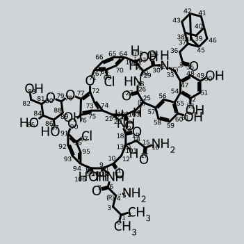 CC(C)C[C@@H](N)C(=O)N[C@H]1C(=O)C[C@@H](CC(N)=O)C(=O)N[C@H]2C(=O)C[C@H]3C(=O)N[C@H](C(=O)N[C@H](C(=O)CC4C5CC6CC(C5)CC4C6)c4cc(O)cc(O)c4-c4cc3ccc4O)[C@H](O)c3ccc(c(Cl)c3)Oc3cc2cc(c3OC2OC(CO)C(O)C(O)C2O)Oc2ccc(cc2Cl)[C@H]1O